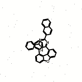 c1ccc(-c2cccc3oc4cccc(C5=NC(c6ccc7ccccc7c6)=NC(c6ccccc6)N5)c4c23)cc1